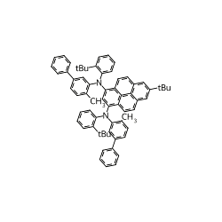 Cc1ccc(-c2ccccc2)cc1N(c1ccccc1C(C)(C)C)c1cc(N(c2cc(-c3ccccc3)ccc2C)c2ccccc2C(C)(C)C)c2ccc3cc(C(C)(C)C)cc4ccc1c2c43